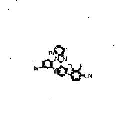 CC(C)c1cc(Br)cc(C(C)C)c1-n1c(-c2cccc3c2oc2c(F)c(C#N)ccc23)nc2ccccc21